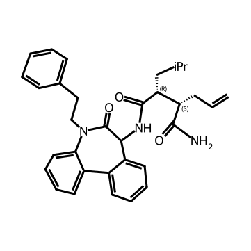 C=CC[C@H](C(N)=O)[C@@H](CC(C)C)C(=O)NC1C(=O)N(CCc2ccccc2)c2ccccc2-c2ccccc21